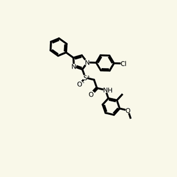 COc1cccc(NC(=O)C[S+]([O-])c2nc(-c3ccccc3)cn2-c2ccc(Cl)cc2)c1C